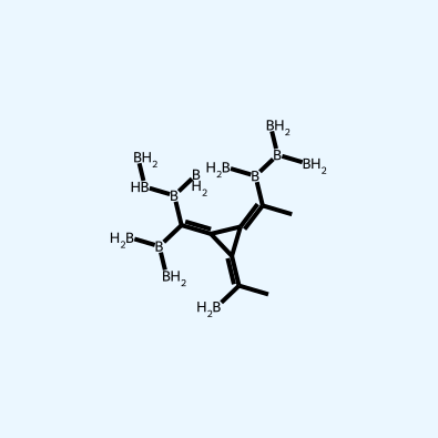 BBB(B)/C(B(B)B)=C1/C(=C(B)C)/C1=C(\C)B(B)B(B)B